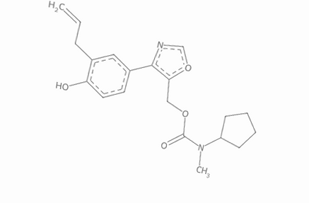 C=CCc1cc(-c2ncoc2COC(=O)N(C)C2CCCC2)ccc1O